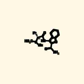 CC(C)[C@H](C(=O)Nc1c(C(N)=O)oc2ccccc12)N(C(=O)O)C(C)(C)C